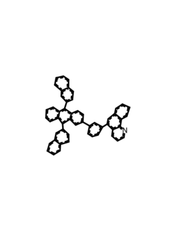 c1cc(-c2ccc3c(-c4ccc5ccccc5c4)c4ccccc4c(-c4ccc5ccccc5c4)c3c2)cc(-c2cc3ccccc3c3ncccc23)c1